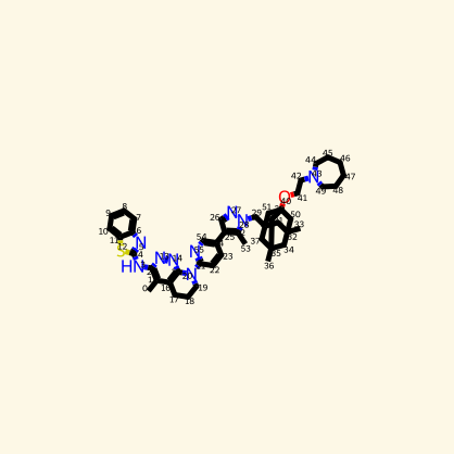 Cc1c(Nc2nc3ccccc3s2)nnc2c1CCCN2c1ccc(-c2cnn(CC34CC5(C)CC(C)(C3)CC(OCCN3CCCCCC3)(C5)C4)c2C)cn1